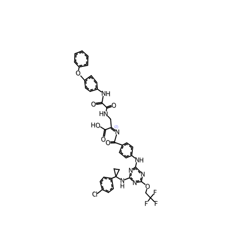 O=C(NC/C(=N/C(=O)c1ccc(Nc2nc(NC3(c4ccc(Cl)cc4)CC3)nc(OCC(F)(F)F)n2)cc1)C(=O)O)C(=O)Nc1ccc(Oc2ccccc2)cc1